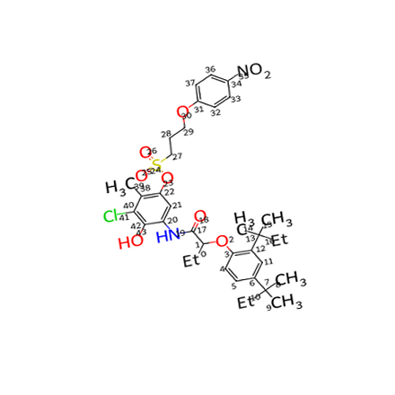 CCC(Oc1ccc(C(C)(C)CC)cc1C(C)(C)CC)C(=O)Nc1cc(OS(=O)(=O)CCCOc2ccc([N+](=O)[O-])cc2)c(C)c(Cl)c1O